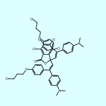 CN(C)c1ccc(C(=CC2(C=C(c3ccc(OCCCCl)cc3)c3ccc(N(C)C)cc3)OC(=O)c3c(Cl)c(Cl)c(Cl)c(Cl)c32)c2ccc(OCCCCl)cc2)cc1